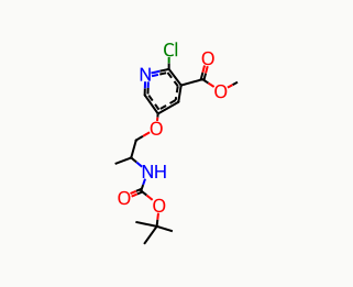 COC(=O)c1cc(OCC(C)NC(=O)OC(C)(C)C)cnc1Cl